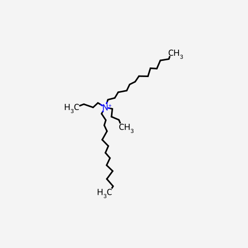 CCCCCCCCCCCCC[N+](CCCC)(CCCC)CCCCCCCCCCCCC